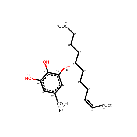 CCCCCCCC/C=C\CCCCCCCC(=O)[O-].O=C(O)c1cc(O)c(O)c(O)c1.[K+]